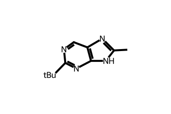 Cc1nc2cnc(C(C)(C)C)nc2[nH]1